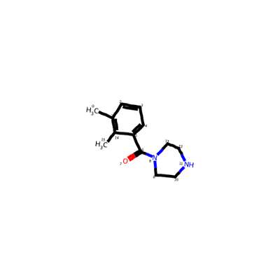 Cc1cccc(C(=O)N2CCNCC2)c1C